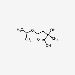 CC(C)OCC[C@](C)(O)C(=O)O